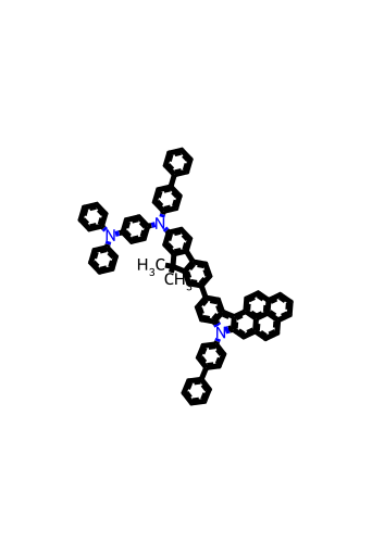 CC1(C)c2cc(-c3ccc4c(c3)c3c5ccc6cccc7ccc(cc3n4-c3ccc(-c4ccccc4)cc3)c5c76)ccc2-c2ccc(N(c3ccc(-c4ccccc4)cc3)c3ccc(N(c4ccccc4)c4ccccc4)cc3)cc21